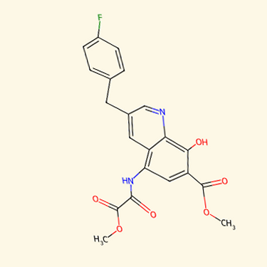 COC(=O)C(=O)Nc1cc(C(=O)OC)c(O)c2ncc(Cc3ccc(F)cc3)cc12